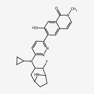 Cn1ccc2cc(-c3ccc(N(C4CC4)C4CC5CCC(N5)C4F)nn3)c(O)cc2c1=O